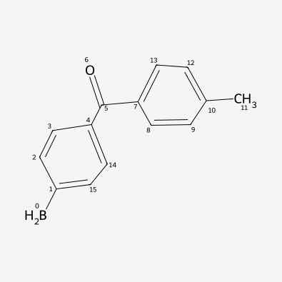 Bc1ccc(C(=O)c2ccc(C)cc2)cc1